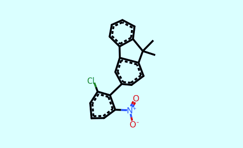 CC1(C)c2ccccc2-c2cc(-c3c(Cl)cccc3[N+](=O)[O-])ccc21